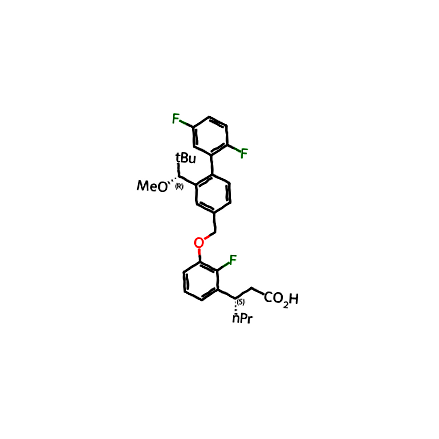 CCC[C@@H](CC(=O)O)c1cccc(OCc2ccc(-c3cc(F)ccc3F)c([C@H](OC)C(C)(C)C)c2)c1F